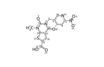 Cn1c(=O)n(Cc2ccc([N+](=O)[O-])nc2)c(=O)c2cc(C(=O)O)sc21